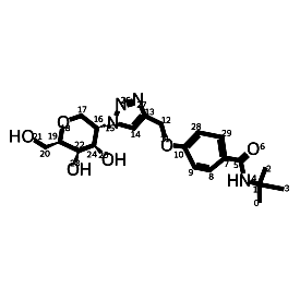 CC(C)(C)NC(=O)c1ccc(OCc2cn([C@H]3CO[C@H](CO)[C@H](O)[C@@H]3O)nn2)cc1